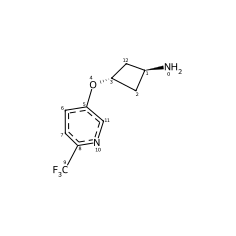 N[C@H]1C[C@H](Oc2ccc(C(F)(F)F)nc2)C1